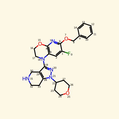 Fc1cc2c(nc1OCc1ccccc1)OCCN2c1nn(C2CCOCC2)c2c1CNCC2